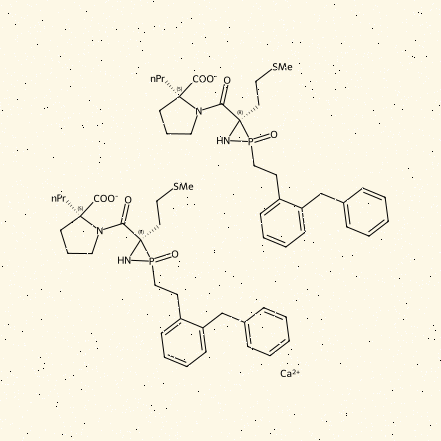 CCC[C@@]1(C(=O)[O-])CCCN1C(=O)[C@]1(CCSC)NP1(=O)CCc1ccccc1Cc1ccccc1.CCC[C@@]1(C(=O)[O-])CCCN1C(=O)[C@]1(CCSC)NP1(=O)CCc1ccccc1Cc1ccccc1.[Ca+2]